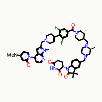 CNc1ccn(-c2ccnc3c2cc(CN2CC=C(c4c(F)cc(C(=O)N5CCC(CN6CCN(Cc7ccc8c(c7)C(C)(C)C(=O)N8[C@H]7CCC(=O)NC7=O)C[C@@H]6C)CC5)cc4F)CC2)n3C)c(=O)c1